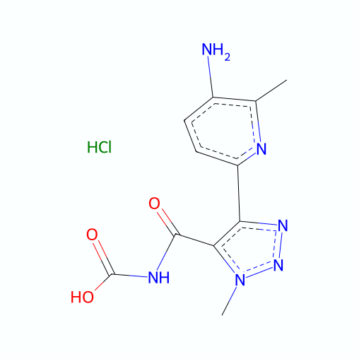 Cc1nc(-c2nnn(C)c2C(=O)NC(=O)O)ccc1N.Cl